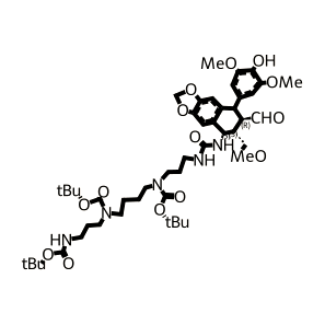 COC[C@@H]1[C@H](NC(=O)NCCCN(CCCCN(CCCNC(=O)OC(C)(C)C)C(=O)OC(C)(C)C)C(=O)OC(C)(C)C)c2cc3c(cc2C(c2cc(OC)c(O)c(OC)c2)[C@H]1C=O)OCO3